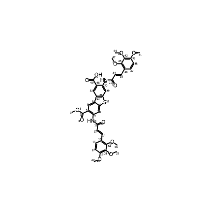 COC(=O)c1cc2c(cc1NC(=O)C=Cc1ccc(OC)c(OC)c1OC)sc1cc(NC(=O)C=Cc3ccc(OC)c(OC)c3OC)c(C(=O)O)cc12